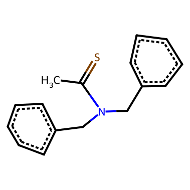 CC(=S)N(Cc1ccccc1)Cc1ccccc1